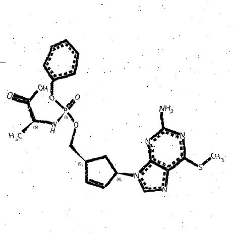 CSc1nc(N)nc2c1ncn2[C@H]1C=C[C@@H](CO[P@](=O)(N[C@@H](C)C(=O)O)Oc2ccccc2)C1